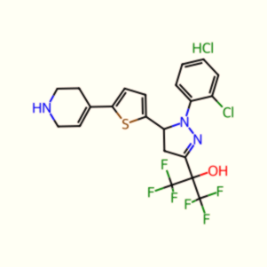 Cl.OC(C1=NN(c2ccccc2Cl)C(c2ccc(C3=CCNCC3)s2)C1)(C(F)(F)F)C(F)(F)F